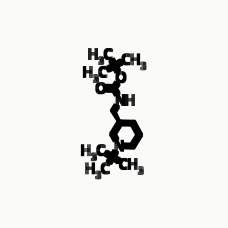 CC(C)(C)OC(=O)NC[C@H]1CCCN(C(C)(C)C)C1